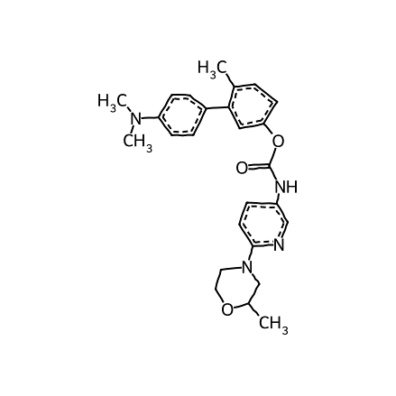 Cc1ccc(OC(=O)Nc2ccc(N3CCOC(C)C3)nc2)cc1-c1ccc(N(C)C)cc1